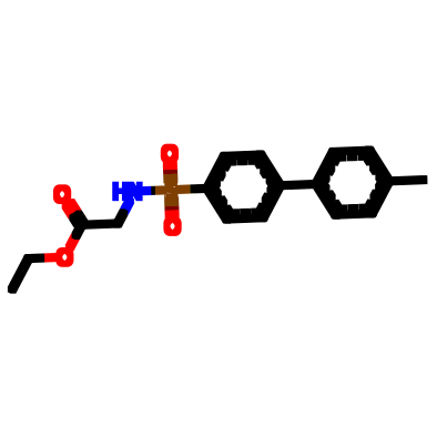 CCOC(=O)CNS(=O)(=O)c1ccc(-c2ccc(C)cc2)cc1